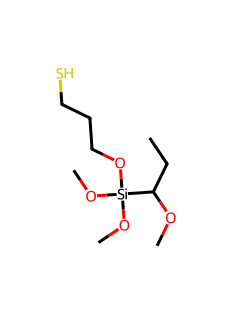 CCC(OC)[Si](OC)(OC)OCCCS